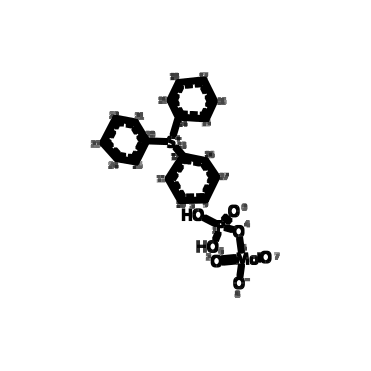 O=P(O)(O)[O][Mo](=[O])(=[O])[O-].c1ccc([S+](c2ccccc2)c2ccccc2)cc1